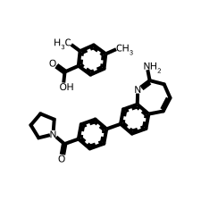 Cc1ccc(C(=O)O)c(C)c1.NC1=Nc2cc(-c3ccc(C(=O)N4CCCC4)cc3)ccc2C=CC1